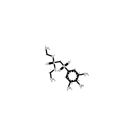 CCOP(=O)(CS(=O)(=O)c1cc(C)c(O)c(C)c1)OCC